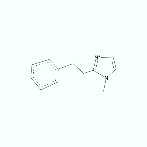 CN1C=C[N+]=C1CCc1ccccc1